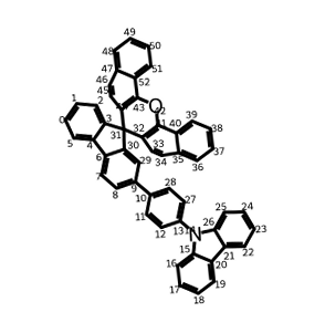 c1ccc2c(c1)-c1ccc(-c3ccc(-n4c5ccccc5c5ccccc54)cc3)cc1C21c2ccc3ccccc3c2Oc2c1ccc1ccccc21